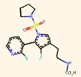 O=C(O)NCCc1cn(S(=O)(=O)N2CCCC2)c(-c2cccnc2F)c1F